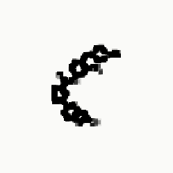 CCN1CCN(Cc2ccc(NC(=O)c3cccc(-c4ccc5nc(O)sc5n4)c3)cc2C(F)(F)F)CC1